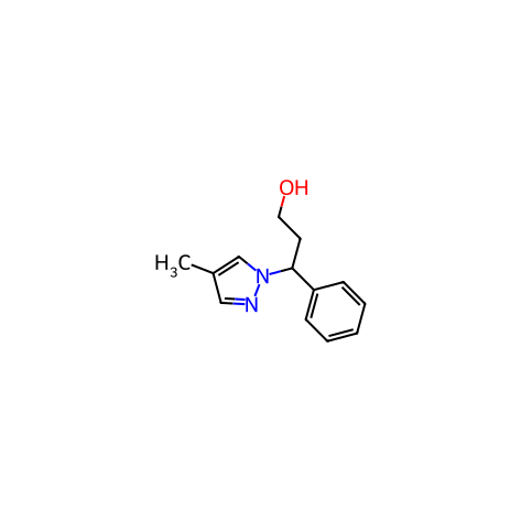 Cc1cnn(C(CCO)c2ccccc2)c1